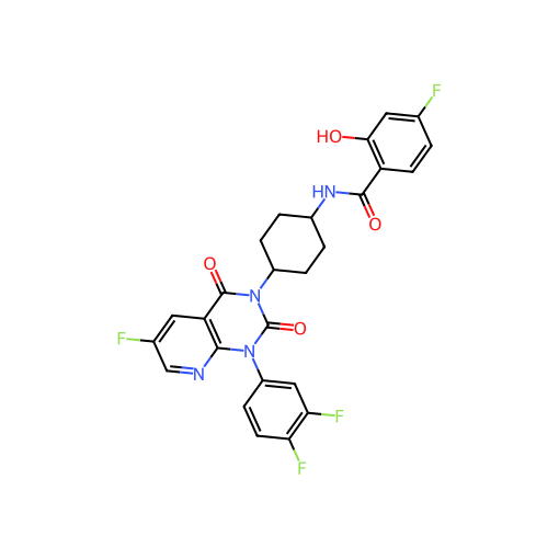 O=C(NC1CCC(n2c(=O)c3cc(F)cnc3n(-c3ccc(F)c(F)c3)c2=O)CC1)c1ccc(F)cc1O